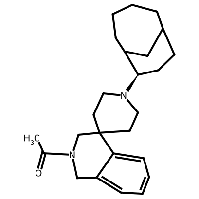 CC(=O)N1Cc2ccccc2C2(CCN([C@@H]3CCC4CCCCC3C4)CC2)C1